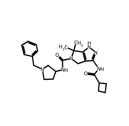 CC1(C)c2[nH]nc(NC(=O)C3CCC3)c2CN1C(=O)NC1CCN(Cc2ccccc2)C1